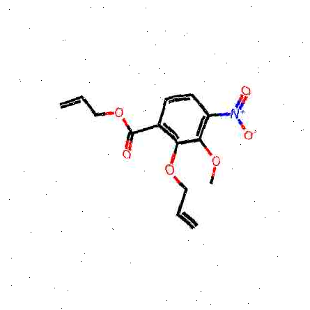 C=CCOC(=O)c1ccc([N+](=O)[O-])c(OC)c1OCC=C